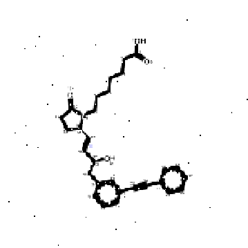 O=C(O)CCCCCCN1C(=O)CC[C@@H]1/C=C/[C@@H](O)Cc1cccc(C#Cc2ccccc2)c1